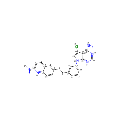 CNc1ccc2cc(CCc3cccc(-n4cc(Cl)c5c(N)ncnc54)c3)ccc2n1